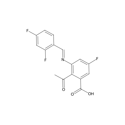 CC(=O)c1c(/N=C/c2ccc(F)cc2F)cc(F)cc1C(=O)O